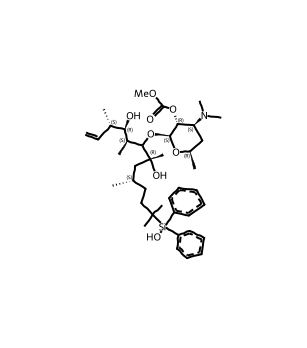 C=C[C@H](C)[C@@H](O)[C@H](C)C(O[C@@H]1O[C@H](C)C[C@H](N(C)C)[C@H]1OC(=O)OC)[C@](C)(O)C[C@@H](C)CCC(C)(C)[Si](O)(c1ccccc1)c1ccccc1